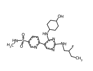 CCC(F)CNc1ncc(-c2ccc(S(=O)(=O)NC)cn2)c(NC2CCC(O)CC2)n1